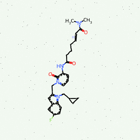 CN(C)C(=O)/C=C/CCCC(=O)Nc1cccn(Cc2cc3cc(F)ccc3n2CC2CC2)c1=O